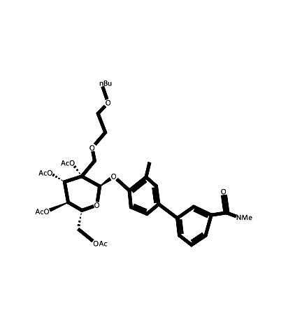 CCCCOCCOC[C@@]1(OC(C)=O)[C@@H](Oc2ccc(-c3cccc(C(=O)NC)c3)cc2C)O[C@H](COC(C)=O)[C@@H](OC(C)=O)[C@@H]1OC(C)=O